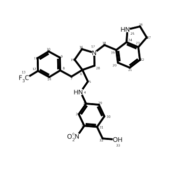 O=[N+]([O-])c1cc(NCC2(Cc3cccc(C(F)(F)F)c3)CCN(Cc3cccc4c3NCC4)C2)ccc1CO